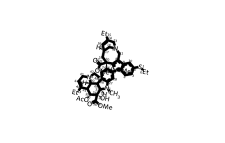 CCSc1ccc2[nH]c3c(c2c1)CN1CC(CC)=C[C@@H](C1)C[C@]3(C(=O)OC)c1cc2c(cc1OC)N(C)[C@H]1[C@@](O)(C(=O)OC)[C@H](OC(C)=O)C3C(CC)=CCN4CC[C@]21[C@H]34